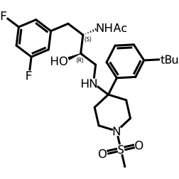 CC(=O)N[C@@H](Cc1cc(F)cc(F)c1)[C@H](O)CNC1(c2cccc(C(C)(C)C)c2)CCN(S(C)(=O)=O)CC1